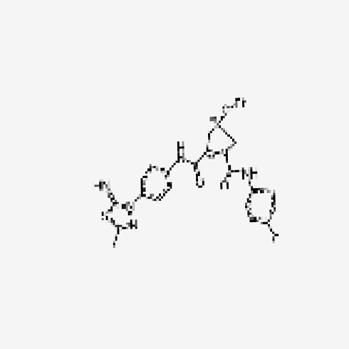 CCO[C@@H]1C[C@H](C(=O)Nc2ccc(-n3nc(C)sc3=N)cc2)N(C(=O)Nc2ccc(Cl)cc2)C1